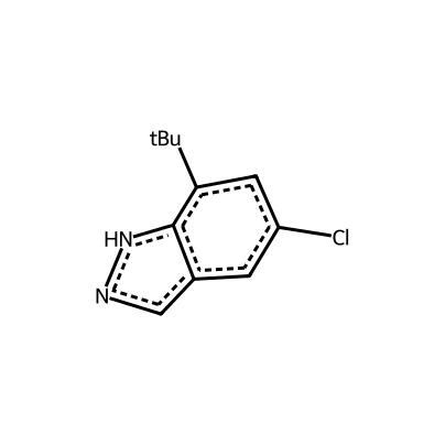 CC(C)(C)c1cc(Cl)cc2cn[nH]c12